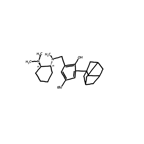 CN(C)[C@@H]1CCCC[C@H]1N(C)Cc1cc(C(C)(C)C)cc(C23CC4CC(CC(C4)C2)C3)c1O